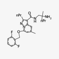 CCCc1nn2c(OCc3c(F)cccc3F)cc(C)cc2c1C(=O)NCC(C)(N)CCC